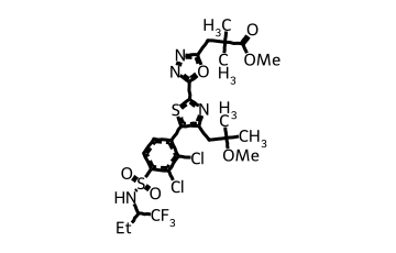 CCC(NS(=O)(=O)c1ccc(-c2sc(-c3nnc(CC(C)(C)C(=O)OC)o3)nc2CC(C)(C)OC)c(Cl)c1Cl)C(F)(F)F